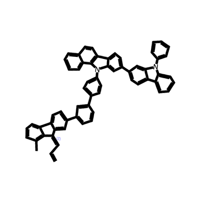 C=C/C=C1/c2cc(-c3cccc(-c4ccc(-n5c6cc(-c7ccc8c9ccccc9n(-c9ccccc9)c8c7)ccc6c6ccc7ccccc7c65)cc4)c3)ccc2-c2cccc(C)c21